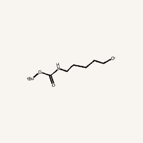 CC(C)(C)OC(=O)NCCCCC[O]